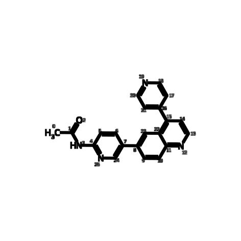 CC(=O)Nc1ccc(-c2ccc3nccc(-c4ccncc4)c3c2)cn1